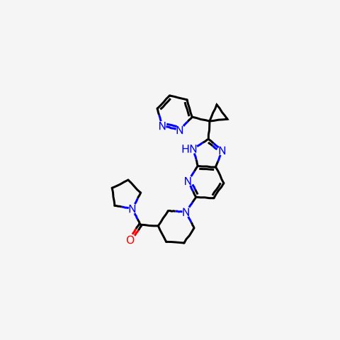 O=C(C1CCCN(c2ccc3nc(C4(c5cccnn5)CC4)[nH]c3n2)C1)N1CCCC1